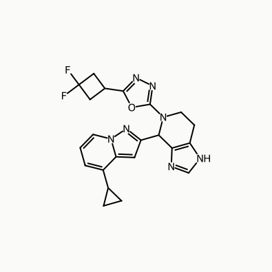 FC1(F)CC(c2nnc(N3CCc4[nH]cnc4C3c3cc4c(C5CC5)cccn4n3)o2)C1